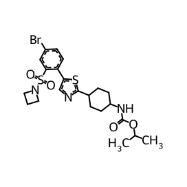 CC(C)OC(=O)NC1CCC(c2ncc(-c3ccc(Br)cc3S(=O)(=O)N3CCC3)s2)CC1